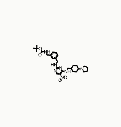 CC(C)(C)OC(=O)NCc1cccc(CNc2ncc([N+](=O)[O-])c(NCC3CCC(N4CCCC4)CC3)n2)c1